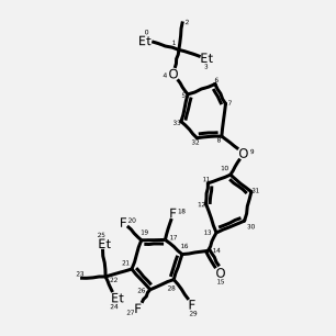 CCC(C)(CC)Oc1ccc(Oc2ccc(C(=O)c3c(F)c(F)c(C(C)(CC)CC)c(F)c3F)cc2)cc1